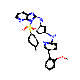 COc1ccccc1-c1ccc(N[C@H]2CC[C@H](Nc3nc4cccnc4n3S(=O)(=O)c3ccc(C)cc3)C2)nc1